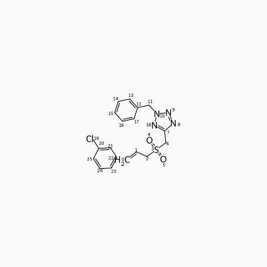 C=CCS(=O)(=O)Cc1nnn(Cc2ccccc2)n1.Clc1ccccc1